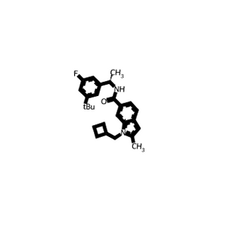 Cc1cc2ccc(C(=O)N[C@@H](C)c3cc(F)cc(C(C)(C)C)c3)cc2n1CC1CCC1